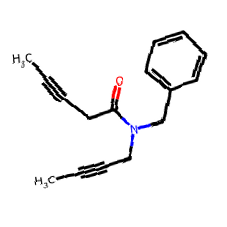 CC#CCC(=O)N(CC#CC)Cc1ccccc1